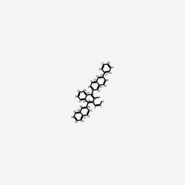 C/C=C\c1c(C)c(-c2ccc3cc(-c4ccccc4)ccc3c2)c2ccccc2c1-c1ccc2ccccc2c1